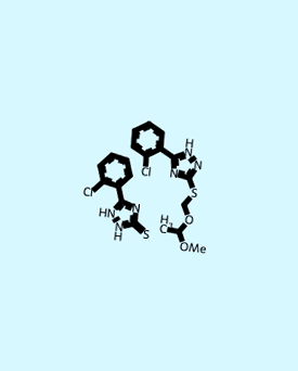 COC(C)OCSc1n[nH]c(-c2ccccc2Cl)n1.S=c1nc(-c2ccccc2Cl)[nH][nH]1